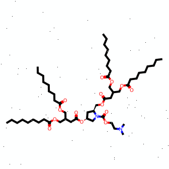 CCCCCCCCC(=O)OCC(COC(=O)CCCCCCCC)CC(=O)OC[C@@H]1C[C@@H](OC(=O)CC(COC(=O)CCCCCCCC)COC(=O)CCCCCCCC)CN1C(=O)OCCN(C)C